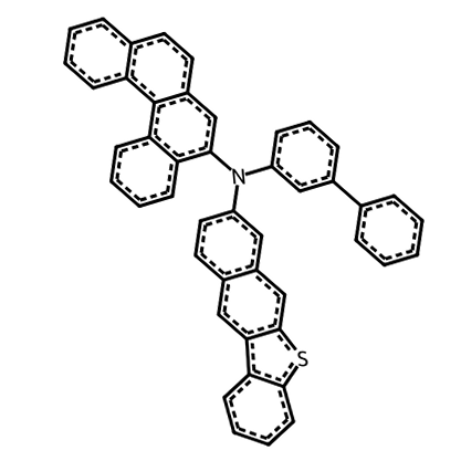 c1ccc(-c2cccc(N(c3ccc4cc5c(cc4c3)sc3ccccc35)c3cc4ccc5ccccc5c4c4ccccc34)c2)cc1